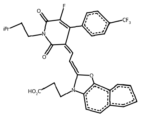 CC(C)CCN1C(=O)C(F)=C(c2ccc(C(F)(F)F)cc2)/C(=C/C=C2\Oc3c(ccc4ccccc34)N2CCC(=O)O)C1=O